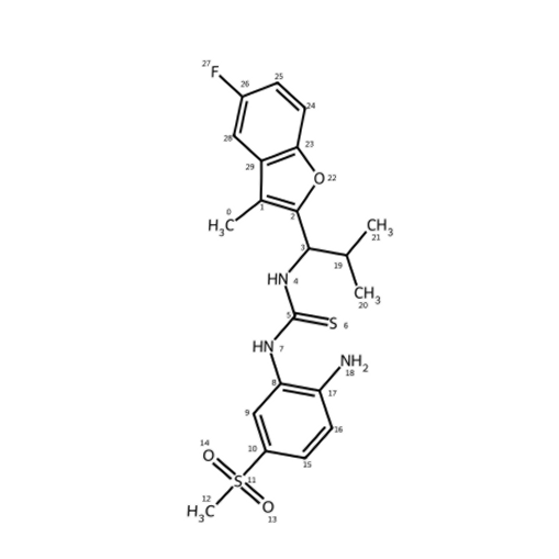 Cc1c(C(NC(=S)Nc2cc(S(C)(=O)=O)ccc2N)C(C)C)oc2ccc(F)cc12